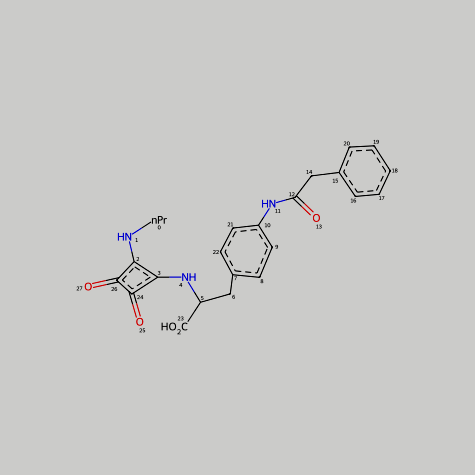 CCCNc1c(NC(Cc2ccc(NC(=O)Cc3ccccc3)cc2)C(=O)O)c(=O)c1=O